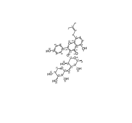 CC(C)=CCc1ccc(O)c2c(=O)c(O[C@@H]3O[C@@H](C)[C@H](O)[C@@H](O[C@@H]4OC[C@@H](O)[C@H](O)[C@H]4O)[C@H]3O)c(-c3ccc(O)cc3)oc12